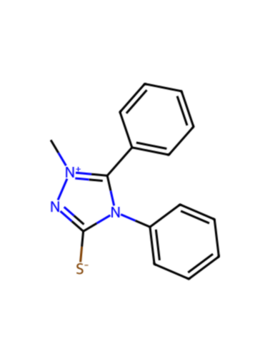 C[n+]1nc([S-])n(-c2ccccc2)c1-c1ccccc1